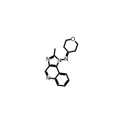 Cc1nc2cnc3ccccc3c2n1N=C1CCOCC1